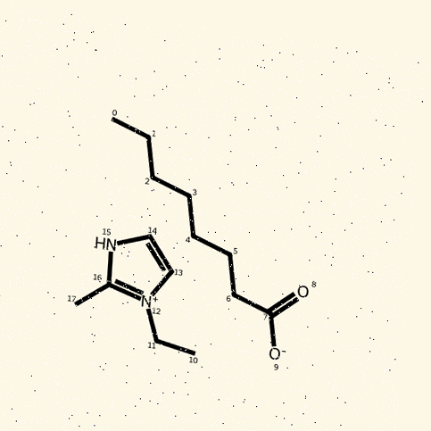 CCCCCCCC(=O)[O-].CC[n+]1cc[nH]c1C